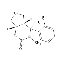 CN1S(=O)O[C@@H]2COC[C@@H]2[C@@]1(C)c1ccccc1F